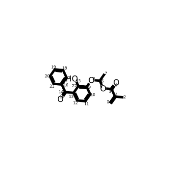 C=C(C)C(=O)OC(C)Oc1cccc(C(=O)c2ccccc2)c1O